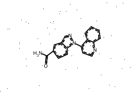 NC(=O)c1ccc2c(cnn2-c2ccnc3ccccc23)c1